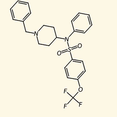 O=S(=O)(c1ccc(OC(F)(F)F)cc1)N(c1ccccc1)C1CCN(Cc2ccccc2)CC1